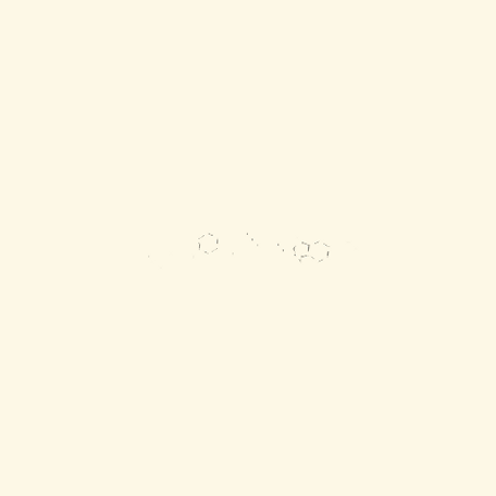 O=C(O)COc1cccc(OCCC2(N3CCCC3)CCN(c3nc4ccc(C(F)(F)F)cc4s3)CC2)c1